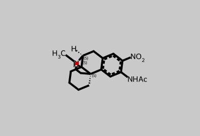 CC(=O)Nc1cc2c(cc1[N+](=O)[O-])C[C@H]1[C@H]3CCCC[C@@]23CCN1C